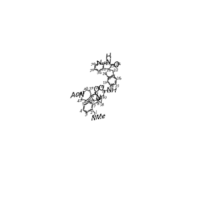 CNCc1ccccc1CN(CC(=O)Nc1ccc2c(c1)C[C@@]1(C2)C(=O)Nc2ncccc21)C(=O)C1(CC2CC2)CCN(C(C)=O)CC1